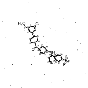 CCc1cc(Cl)cc(C2=CCN(C(=O)c3ccc(Nc4ccnc5cc(C(F)(F)F)ccc45)cc3)CC2)c1